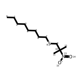 CCCCCCCCSCC(C)(C)[N+](=O)[O-]